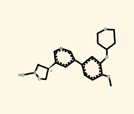 COc1ccc(-c2cncc([C@H]3COB(O)C3)c2)cc1OC1CCSCC1